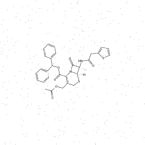 CC(=O)OCC1=C(C(=O)OC(c2ccccc2)c2ccccc2)N2C(=O)[C@@](C)(NC(=O)Cc3cccs3)[C@H]2SC1